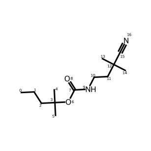 CCCC(C)(C)OC(=O)NCCC(C)(C)C#N